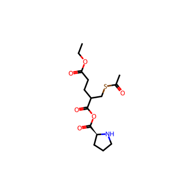 CCOC(=O)CCC(CSC(C)=O)C(=O)OC(=O)[C@@H]1CCCN1